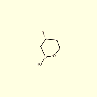 C[C@@H]1CCOB(O)C1